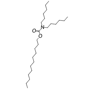 CCCCCCCCCCCCOC(=O)N(CCCCCC)CCCCCC